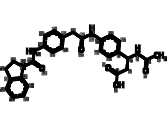 CC(=O)N[C@@H](CC(=O)O)c1ccc(NC(=O)Cc2ccc(NC(=O)N3CCc4ccccc43)cc2)cc1